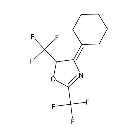 FC(F)(F)C1=NC(=C2CCCCC2)C(C(F)(F)F)O1